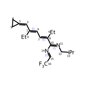 CC\C(C=C1CC1)=C/C=C(CC)/C(=N/CC(C)C)/N=C/C(F)(F)F